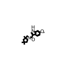 COc1ccc2c(C(=O)N3CC4(C)CC(C)(C)CC34)c[nH]c2c1